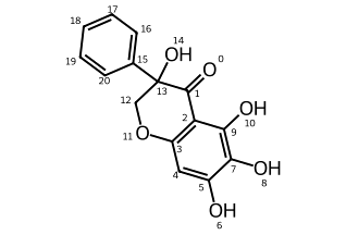 O=C1c2c(cc(O)c(O)c2O)OCC1(O)c1ccccc1